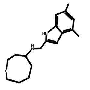 Cc1cc(C)c2cc(CNC3CCCCCCC3)[nH]c2c1